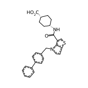 O=C(N[C@H]1CC[C@@H](C(=O)O)CC1)c1csc2ccn(Cc3ccc(-c4ccccc4)cc3)c12